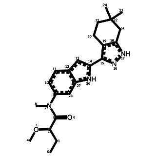 CCC(OC)C(=O)N(C)c1ccc2cc(-c3n[nH]c4c3CCC(C)(C)C4)[nH]c2c1